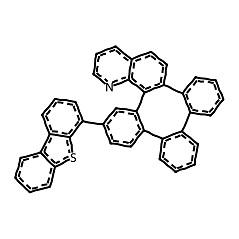 c1ccc2c(c1)-c1ccccc1-c1ccc3cccnc3c1-c1cc(-c3cccc4c3sc3ccccc34)ccc1-2